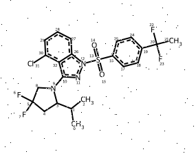 CC(C)C1CC(F)(F)CN1c1nn(S(=O)(=O)c2ccc(C(C)(F)F)cc2)c2cccc(Cl)c12